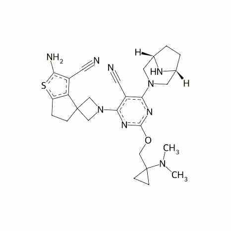 CN(C)C1(COc2nc(N3C[C@H]4CC[C@@H](C3)N4)c(C#N)c(N3CC4(CCc5sc(N)c(C#N)c54)C3)n2)CC1